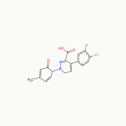 CC1=CC(=O)C(N2CC=C(c3ccc(Cl)c(Cl)c3)C(C(=O)O)=N2)C=C1